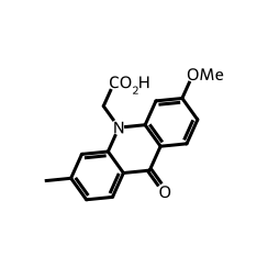 COc1ccc2c(=O)c3ccc(C)cc3n(CC(=O)O)c2c1